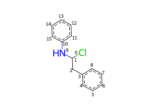 ClC(Cc1ccccc1)Nc1cc[c]cc1